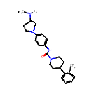 CC(=O)N(C)C1CCN(c2ccc(NC(=O)N3CCC(c4ccccc4C(F)(F)F)CC3)cc2)C1